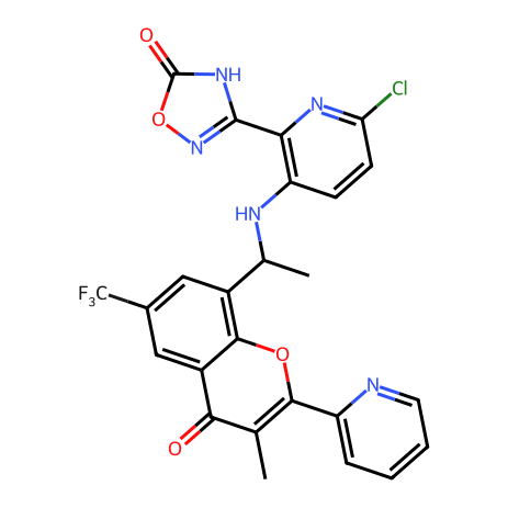 Cc1c(-c2ccccn2)oc2c(C(C)Nc3ccc(Cl)nc3-c3noc(=O)[nH]3)cc(C(F)(F)F)cc2c1=O